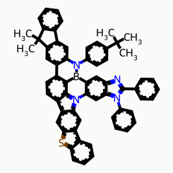 CC(C)(C)c1ccc(N2B3c4cc5nc(-c6ccccc6)n(-c6ccccc6)c5cc4-n4c5cc6c(cc5c5ccc(c3c54)-c3cc4c(cc32)-c2ccccc2C4(C)C)sc2ccccc26)cc1